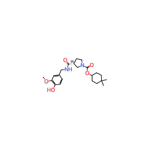 COc1cc(CNC(=O)[C@@H]2CCN(C(=O)OC3CCC(C)(C)CC3)C2)ccc1O